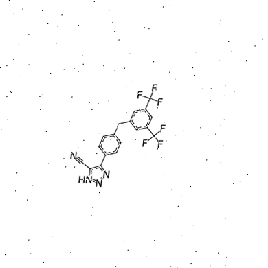 N#Cc1[nH]nnc1-c1ccc(Cc2cc(C(F)(F)F)cc(C(F)(F)F)c2)cc1